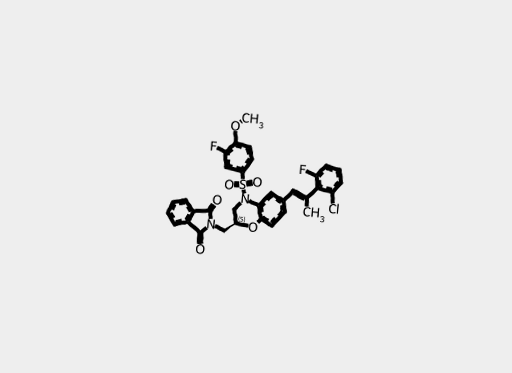 COc1ccc(S(=O)(=O)N2C[C@H](CN3C(=O)c4ccccc4C3=O)Oc3ccc(C=C(C)c4c(F)cccc4Cl)cc32)cc1F